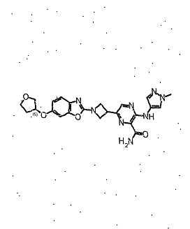 Cn1cc(Nc2ncc(C3CN(c4nc5ccc(O[C@H]6CCOC6)cc5o4)C3)nc2C(N)=O)cn1